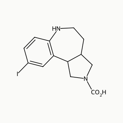 O=C(O)N1CC2CCNc3ccc(I)cc3C2C1